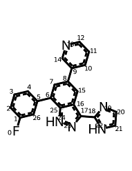 Fc1cccc(-c2cc(-c3cccnc3)cc3c(-c4ncc[nH]4)n[nH]c23)c1